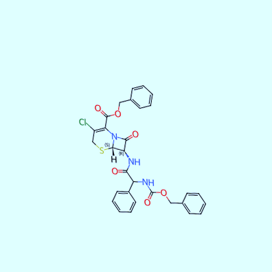 O=C(NC(C(=O)N[C@@H]1C(=O)N2C(C(=O)OCc3ccccc3)=C(Cl)CS[C@@H]12)c1ccccc1)OCc1ccccc1